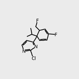 CC(C)C1(c2ccnc(Cl)n2)C=CC(F)=CC1CF